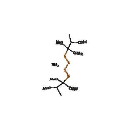 COC(C)C(OC)(OC)SSSSC(OC)(OC)C(C)OC.[SiH4]